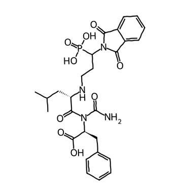 CC(C)C[C@H](NCCC(N1C(=O)c2ccccc2C1=O)P(=O)(O)O)C(=O)N(C(N)=O)[C@@H](Cc1ccccc1)C(=O)O